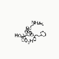 CC(=O)NCCCS(=O)(=O)OC(COC(=O)CCC1CCCCC1)C(C)(C)[C@@H](O)C(=O)O